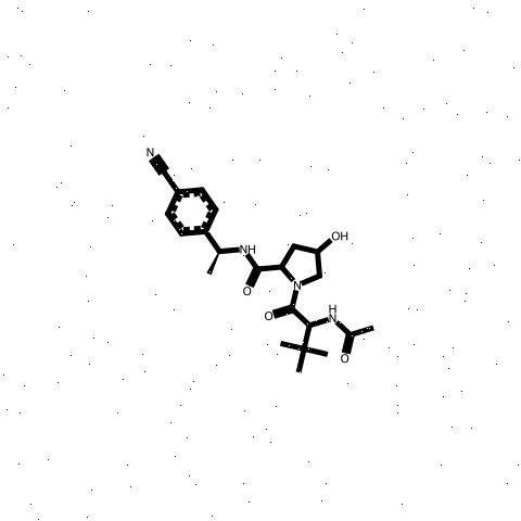 CC(=O)NC(C(=O)N1CC(O)CC1C(=O)N[C@@H](C)c1ccc(C#N)cc1)C(C)(C)C